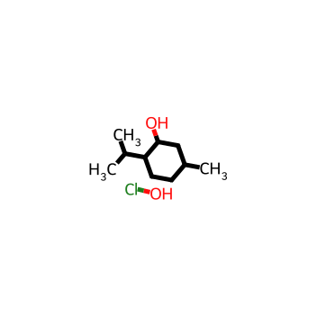 CC1CCC(C(C)C)C(O)C1.OCl